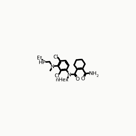 CCCCCCN(C(=O)C1=C(C(N)=O)CCCC1)c1ccc(Cl)c(N(C)CPCC)c1Cl